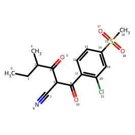 CCC(C)C(=O)C(C#N)C(=O)c1ccc(S(C)(=O)=O)cc1Cl